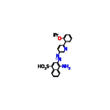 CC(C)Oc1ccccc1-c1ccc(/N=N/c2cc(S(=O)(=O)O)c3ccccc3c2N)cn1